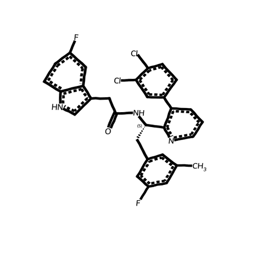 Cc1cc(F)cc(C[C@H](NC(=O)Cc2c[nH]c3ccc(F)cc23)c2ncccc2-c2ccc(Cl)c(Cl)c2)c1